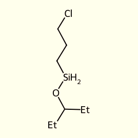 CCC(CC)O[SiH2]CCCCl